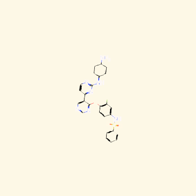 NC1CCC(Nc2nccc(-c3cncnc3Oc3ccc(NS(=O)(=O)c4ccccc4)cc3F)n2)CC1